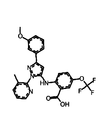 COc1cccc(-c2cc(Nc3ccc(OC(F)(F)F)cc3C(=O)O)n(-c3ncccc3C)n2)c1